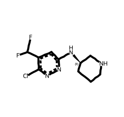 FC(F)c1cc(N[C@@H]2CCCNC2)nnc1Cl